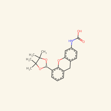 CC1(C)OB(c2cccc3c2Oc2cc(NC(=O)O)ccc2C3)OC1(C)C